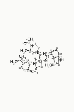 CC(=O)N1CCN(c2nc(-c3cccc4[nH]cc(C)c34)nc3c2CN(c2cc(C(C)C)ccc2C)CC3)C[C@H]1C